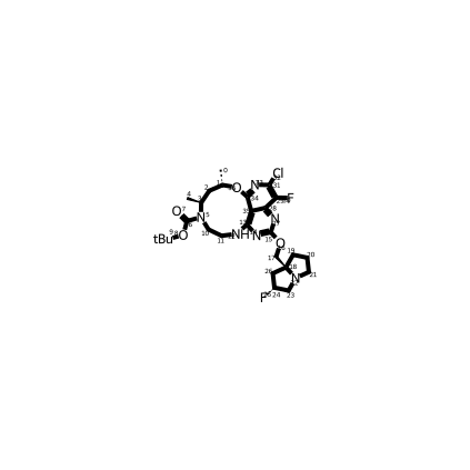 C[C@H]1C[C@H](C)N(C(=O)OC(C)(C)C)CCNc2nc(OC[C@@]34CCCN3C[C@H](F)C4)nc3c(F)c(Cl)nc(c23)O1